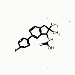 CC1(C)Cc2ccc(-c3ccc(F)cc3)cc2C1NC(=O)O